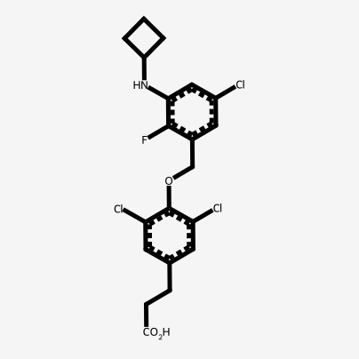 O=C(O)CCc1cc(Cl)c(OCc2cc(Cl)cc(NC3CCC3)c2F)c(Cl)c1